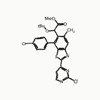 COC(=O)C(OC(C)(C)C)c1c(C)cc2nc(-c3ccnc(Cl)n3)sc2c1-c1ccc(Cl)cc1